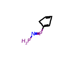 PN=PC1=CC=CC1